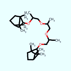 CC(COC(C)COC1CC2CCC1(C)C2(C)C)OCC(C)OC1CC2CCC1(C)C2(C)C